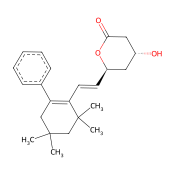 CC1(C)CC(c2ccccc2)=C(/C=C/[C@@H]2C[C@@H](O)CC(=O)O2)C(C)(C)C1